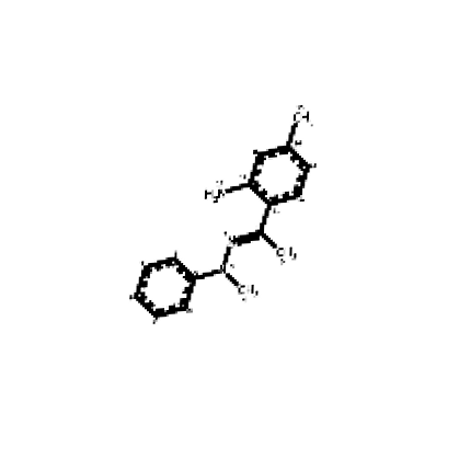 C/C(=N\N(C)c1ccccc1)c1ccc(C)cc1N